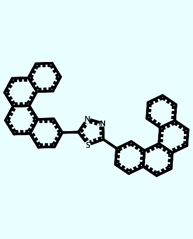 c1ccc2c(c1)ccc1ccc3ccc(-c4nnc(-c5ccc6ccc7ccc8ccccc8c7c6c5)s4)cc3c12